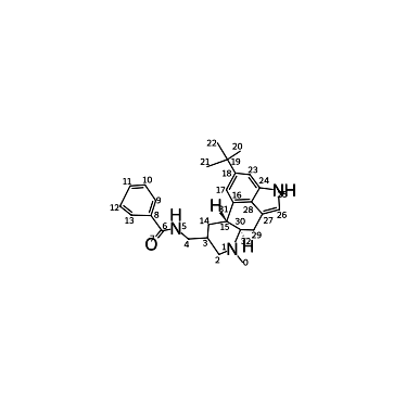 CN1CC(CNC(=O)c2ccccc2)C[C@@H]2c3cc(C(C)(C)C)cc4[nH]cc(c34)C[C@H]21